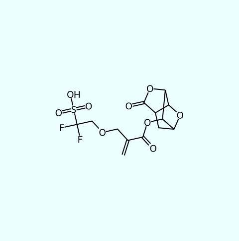 C=C(COCC(F)(F)S(=O)(=O)O)C(=O)OC1C2CC3C(=O)OC1C3O2